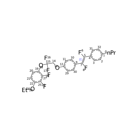 CCCc1ccc(/C(F)=C(\F)c2ccc(OCC(F)(F)Oc3ccc(OCC)c(F)c3F)cc2)cc1